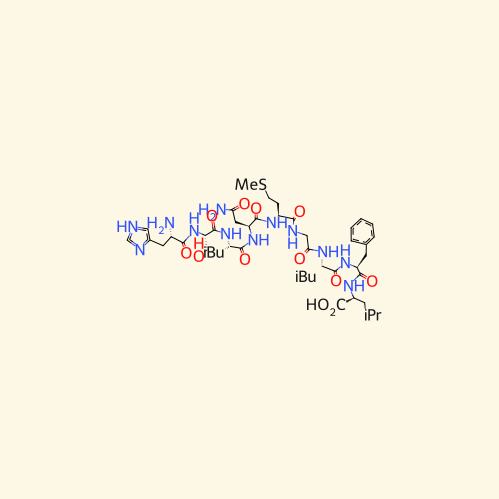 CC[C@H](C)[C@H](NC(=O)CNC(=O)[C@H](CCSC)NC(=O)[C@H](CC(N)=O)NC(=O)[C@@H](NC(=O)[C@H](CO)NC(=O)[C@@H](N)Cc1c[nH]cn1)[C@@H](C)CC)C(=O)N[C@@H](Cc1ccccc1)C(=O)N[C@@H](CC(C)C)C(=O)O